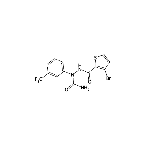 NC(=O)N(NC(=O)c1sccc1Br)c1cccc(C(F)(F)F)c1